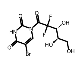 O=C(n1cc(Br)c(=O)[nH]c1=O)C(F)(F)[C@H](O)[C@H](O)CO